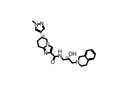 Cn1cc([C@H]2CCc3nc(C(=O)NC[C@H](O)CN4CCc5ccccc5C4)cn3C2)cn1